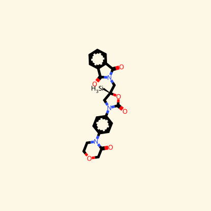 O=C1c2ccccc2C(=O)N1C[C@@]1([SiH3])CN(c2ccc(N3CCOCC3=O)cc2)C(=O)O1